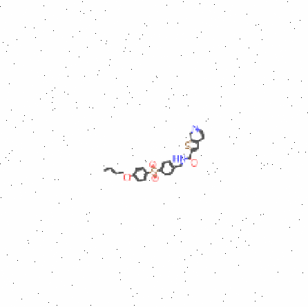 CCCCOc1ccc(S(=O)(=O)c2ccc(CNC(=O)c3cc4ccncc4s3)cc2)cc1